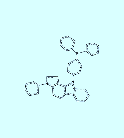 c1ccc(-n2ccc3c2ccc2c4ccccc4n(-c4ccc(P(c5ccccc5)c5ccccc5)cc4)c23)cc1